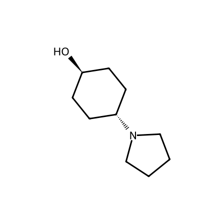 O[C@H]1CC[C@H](N2CCCC2)CC1